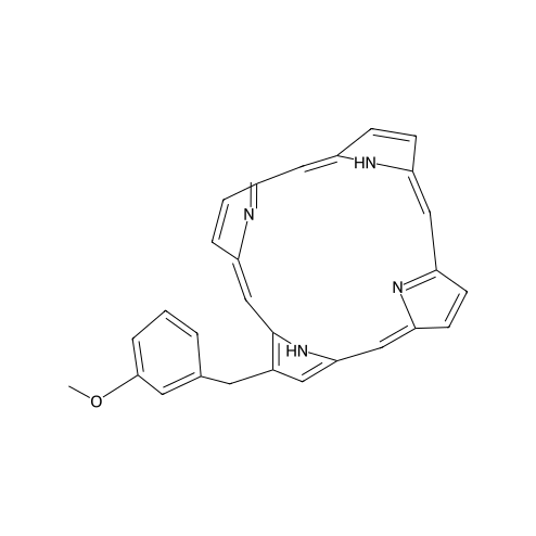 COc1cccc(Cc2cc3cc4nc(cc5ccc(cc6nc(cc2[nH]3)C=C6)[nH]5)C=C4)c1